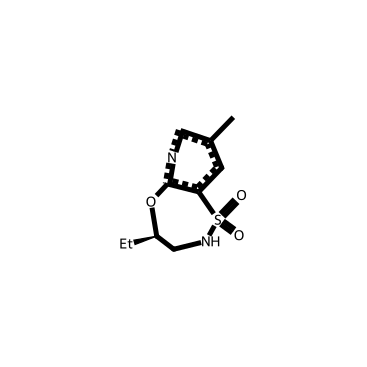 CC[C@@H]1CNS(=O)(=O)c2cc(C)cnc2O1